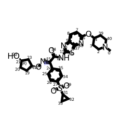 CN1CCC(Oc2ccc3nc(NC(=O)/C(=N/O[C@@H]4CC[C@@H](O)C4)c4ccc(S(=O)(=O)C5CC5)cc4)sc3n2)CC1